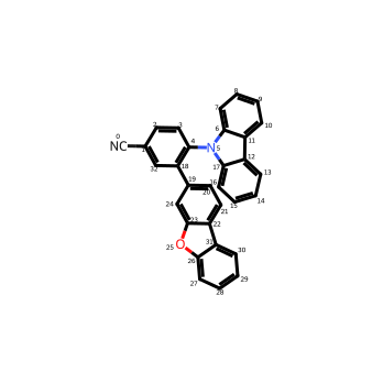 N#Cc1ccc(-n2c3ccccc3c3ccccc32)c(-c2ccc3c(c2)oc2ccccc23)c1